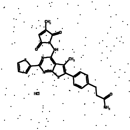 CC1=CC(=O)N(Nc2nc(-c3cccs3)nc3sc(-c4ccc(CCC(N)=O)cc4)c(C)c23)C1=O.Cl